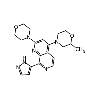 CC1CN(c2cc(N3CCOCC3)nc3c(-c4ccn[nH]4)nccc23)CCO1